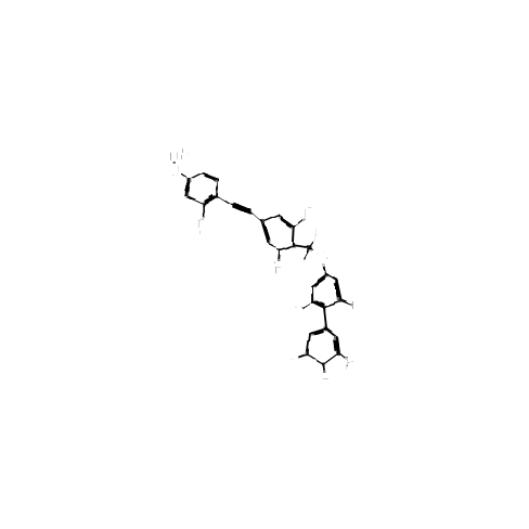 CCCCOc1ccc(C#CC2=CC(F)C(C(F)(F)Oc3cc(F)c(C4=CC(F)C(F)C(F)=C4)c(F)c3)C(F)=C2)c(F)c1